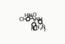 CCN(CC)Cc1ccc(N/C(=C2\C(=O)Nc3cc(Cl)ccc32)c2ccc3nccnc3c2)cc1